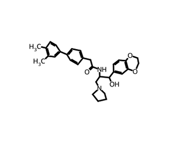 Cc1ccc(-c2ccc(CC(=O)NC(CN3CCCC3)C(O)c3ccc4c(c3)OCCO4)cc2)cc1C